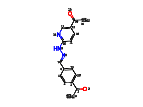 CC(C)(C)C(=O)c1ccc(/C=N/Nc2ccc(C(=O)C(C)(C)C)cn2)cc1